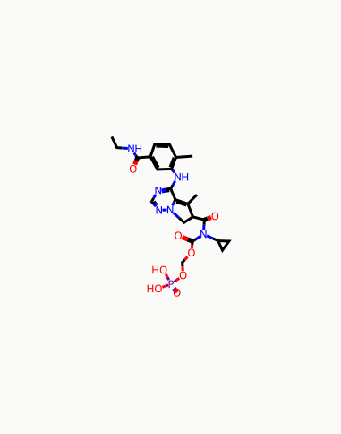 CCNC(=O)c1ccc(C)c(NC2=NC=NN3CC(C(=O)N(C(=O)OCOP(=O)(O)O)C4CC4)C(C)=C23)c1